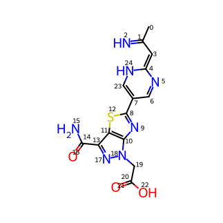 CC(=N)/C=C1/N=CC(c2nc3c(s2)c(C(N)=O)nn3CC(=O)O)=CN1